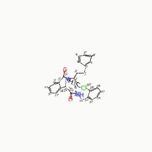 CC(CCc1ccccc1)N1C(=O)c2ccccc2C1C(=O)NCc1ccccc1Cl